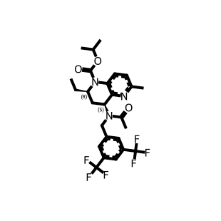 CC[C@@H]1C[C@H](N(Cc2cc(C(F)(F)F)cc(C(F)(F)F)c2)C(C)=O)c2nc(C)ccc2N1C(=O)OC(C)C